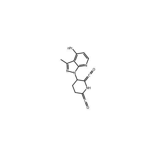 CCCc1ccnc2c1c(C)nn2C1CCC(=C=O)NC1=C=O